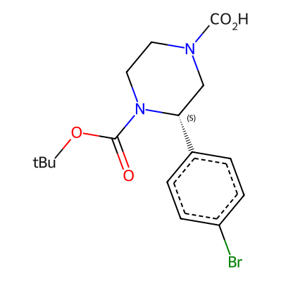 CC(C)(C)OC(=O)N1CCN(C(=O)O)C[C@@H]1c1ccc(Br)cc1